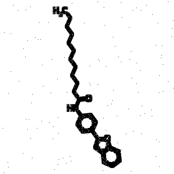 CCCCCCCCCCCC(=O)Nc1ccc(-c2cc3ccccc3o2)cc1